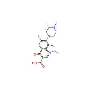 CC1Cc2c(N3CCN(C)[C@@H](C)C3)c(F)cc3c(=O)c(C(=O)O)cn1c23